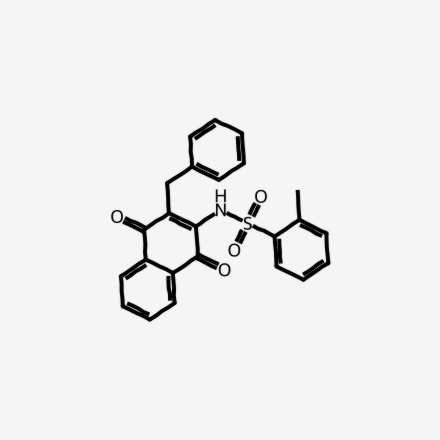 Cc1ccccc1S(=O)(=O)NC1=C(Cc2ccccc2)C(=O)c2ccccc2C1=O